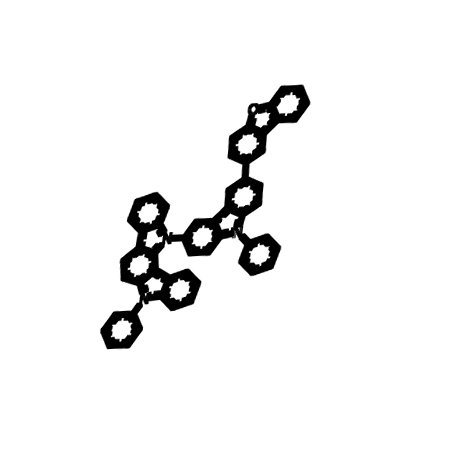 c1ccc(-n2c3ccc(-c4ccc5oc6ccccc6c5c4)cc3c3cc(-n4c5ccccc5c5ccc6c(c7ccccc7n6-c6ccccc6)c54)ccc32)cc1